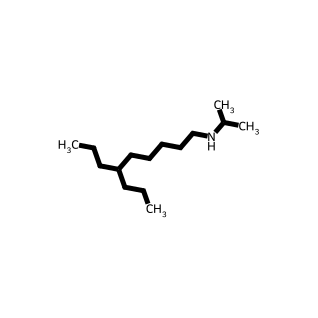 CCCC(CCC)CCCCCNC(C)C